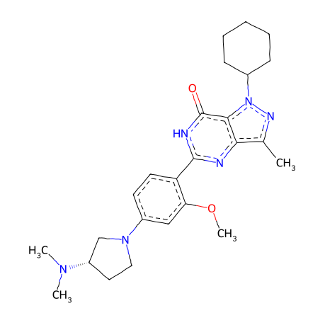 COc1cc(N2CC[C@H](N(C)C)C2)ccc1-c1nc2c(C)nn(C3CCCCC3)c2c(=O)[nH]1